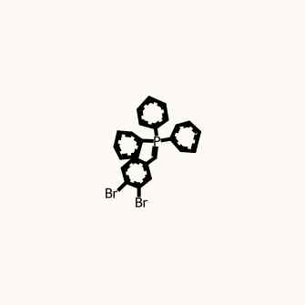 Brc1ccc(C=P(c2ccccc2)(c2ccccc2)c2ccccc2)cc1Br